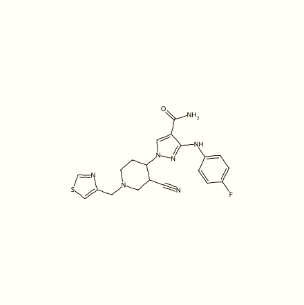 N#CC1CN(Cc2cscn2)CCC1n1cc(C(N)=O)c(Nc2ccc(F)cc2)n1